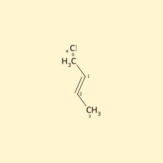 CC=CC.[C]